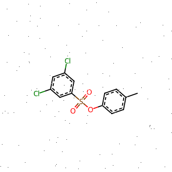 Cc1ccc(OS(=O)(=O)c2cc(Cl)cc(Cl)c2)cc1